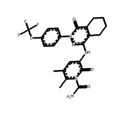 Cc1cc(Nc2nn(-c3ccc(OC(F)(F)F)cc3)c(=O)c3c2CCCC3)c(=O)n(C(N)=O)c1C